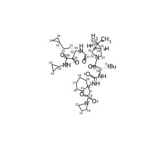 CC(C)(C)[C@H](NC(=O)NC1(CS(=O)(=O)N2CCC2)CCCCC1)C(=O)N1C[C@H]2[C@@H]([C@H]1C(=O)N[C@@H](CCC1CC1)C(=O)C(=O)NC1CC1)C2(C)C